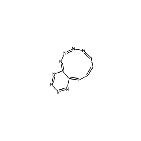 c1ccc2nnnnc2nnnnc1